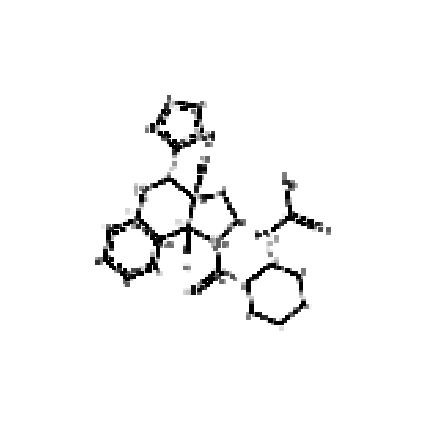 O=C(O)N[C@@H]1CCCC[C@@H]1C(=O)N1CC[C@H]2[C@@H](c3ncc[nH]3)Nc3ccccc3[C@H]21